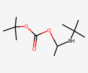 CC(BC(C)(C)C)OC(=O)OC(C)(C)C